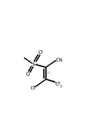 CS(=O)(=O)/C(C#N)=C(\Cl)C(F)(F)F